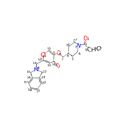 O=CC(=O)N1CCC(COc2coc(CN3Cc4ccccc4C3)cc2=O)CC1